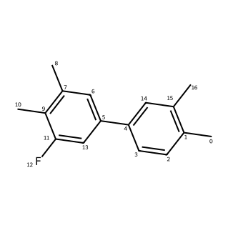 Cc1ccc(-c2cc(C)c(C)c(F)c2)cc1C